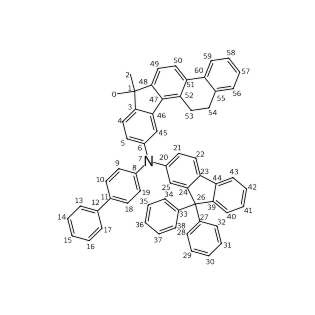 CC1(C)c2ccc(N(c3ccc(-c4ccccc4)cc3)c3ccc4c(c3)C(c3ccccc3)(c3ccccc3)c3ccccc3-4)cc2-c2c1ccc1c2CCc2ccccc2-1